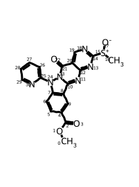 COC(=O)c1ccc2c(c1)c1nc3nc([S+](C)[O-])ncc3c(=O)n1n2-c1ccccn1